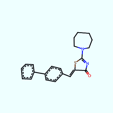 O=C1N=C(N2CCCCCC2)SC1=Cc1ccc(-c2ccccc2)cc1